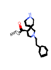 COC(=O)C1CN(CCc2ccccc2)CC12CCNCC2